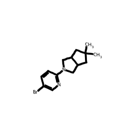 CC1(C)CC2CN(c3ccc(Br)cn3)CC2C1